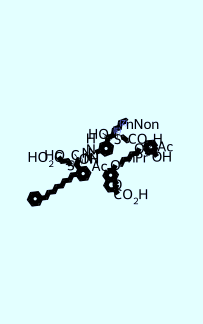 CCCCCCCCC/C=C\C=C\[C@@H](SCCC(=O)O)[C@@H](O)c1cccc(-c2nnn[nH]2)c1.CCCc1c(OCCCCCOc2cc3c(cc2C(C)=O)CCC(C(=O)O)O3)ccc(C(C)=O)c1O.O=C(O)CCS[C@H](c1ccccc1CCCCCCCCc1ccccc1)[C@@H](O)C(=O)O